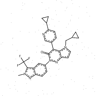 Cn1nc2ccc(-n3nc4ccn(CC5CC5)c4c(-c4ccc(C5CC5)nc4)c3=O)cc2c1C(F)(F)F